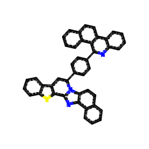 c1ccc2c(c1)ccc1c2nc2c3sc4ccccc4c3cc(-c3ccc(-c4nc5ccccc5c5ccc6ccccc6c45)cc3)n12